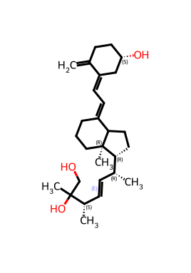 C=C1CC[C@H](O)CC1=CC=C1CCC[C@@]2(C)C1CC[C@@H]2[C@H](C)/C=C/[C@H](C)C(C)(O)CO